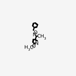 COc1ccc(C(C)=NOCc2ccccc2)cn1